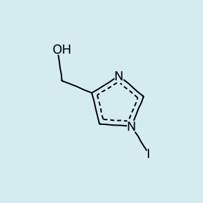 OCc1cn(I)cn1